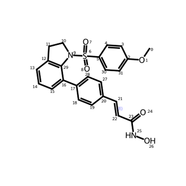 COc1ccc(S(=O)(=O)N2CCc3cccc(-c4ccc(/C=C/C(=O)NO)cc4)c32)cc1